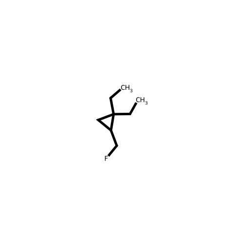 CCC1(CC)CC1CF